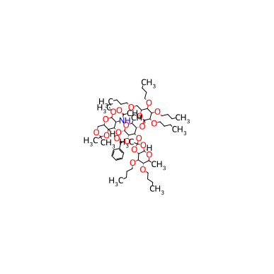 CCCCOCC1O[C@H](O[C@H]2C(C)O[C@@H](OC3[C@@H]4OC(C)(C)OCC4O[C@@H](OC)[C@H]3NC(C)=O)[C@@H](OC(=O)c3ccccc3)C2OC2(C)OC3C(OCCCC)[C@@H](OCCCC)C(C)O[C@@H]3O2)C(OCCCC)C(OCCCC)[C@@H]1OCCCC